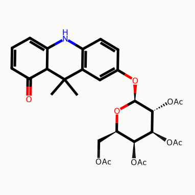 CC(=O)OC[C@H]1O[C@@H](Oc2ccc3c(c2)C(C)(C)C2C(=O)C=CC=C2N3)[C@H](OC(C)=O)[C@@H](OC(C)=O)[C@H]1OC(C)=O